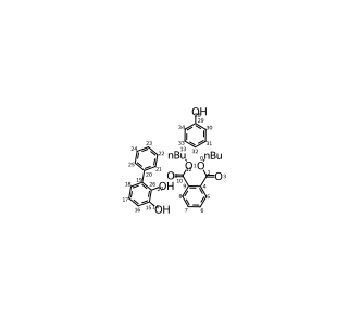 CCCCOC(=O)c1ccccc1C(=O)OCCCC.Oc1cccc(-c2ccccc2)c1O.Oc1ccccc1